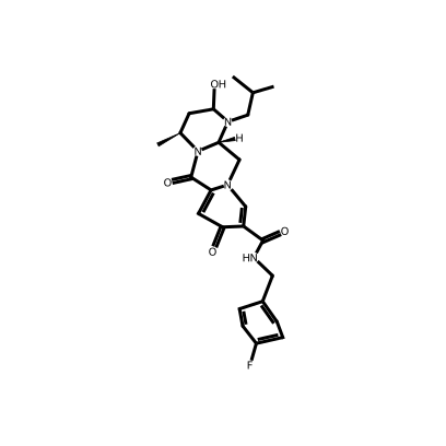 CC(C)CN1C(O)C[C@H](C)N2C(=O)c3cc(=O)c(C(=O)NCc4ccc(F)cc4)cn3C[C@@H]12